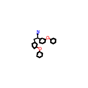 N#C[C](Cc1cccc(Oc2ccccc2)c1)c1cccc(Oc2ccccc2)c1